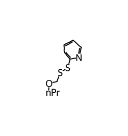 CCCOCSSc1ccccn1